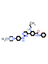 CCCN1Sc2cnc(Nc3ccc(N4CCN(C)CC4)cc3)nc2-c2ccc(C(=O)Nc3ccccc3)cc21